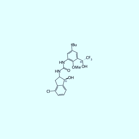 COc1c(NC(=O)NC2Cc3c(Cl)cccc3[C@@H]2O)cc(C(C)(C)C)cc1[C@@H](O)C(F)(F)F